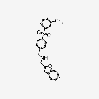 O=S(=O)(c1ccc(CNCc2cc3ccncc3o2)cc1)c1cc(C(F)(F)F)ccn1